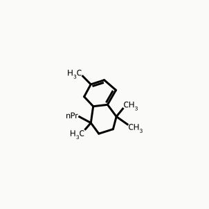 CCCC1(C)CCC(C)(C)C2=CC=C(C)CC21